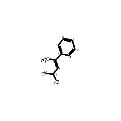 CC(=CC(Cl)Cl)c1ccccc1